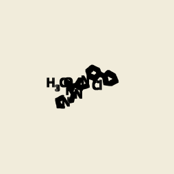 COc1nc(CN2CCCC2)nc2c1CN(C1=C(Cl)C(c3ccccc3)CC=C1)C2